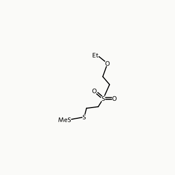 CCOCCS(=O)(=O)CCSSC